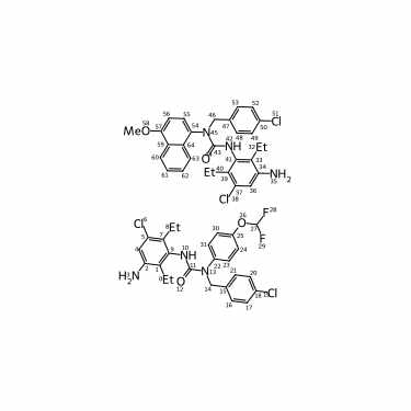 CCc1c(N)cc(Cl)c(CC)c1NC(=O)N(Cc1ccc(Cl)cc1)c1ccc(OC(F)F)cc1.CCc1c(N)cc(Cl)c(CC)c1NC(=O)N(Cc1ccc(Cl)cc1)c1ccc(OC)c2ccccc12